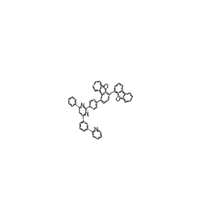 c1ccc(-c2cc(-c3cccc(-c4ccccn4)c3)nc(-c3ccc(-c4ccc(-c5cccc6c5oc5ccccc56)c5oc6ccccc6c45)cc3)n2)cc1